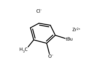 Cc1cccc(C(C)(C)C)c1[O-].[Cl-].[Zr+2]